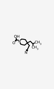 CC(C)CC1(CC#N)CCN(C(=O)O)CC1